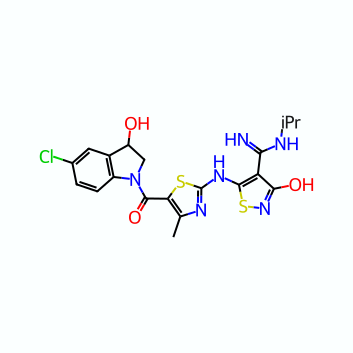 Cc1nc(Nc2snc(O)c2C(=N)NC(C)C)sc1C(=O)N1CC(O)c2cc(Cl)ccc21